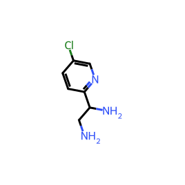 NCC(N)c1ccc(Cl)cn1